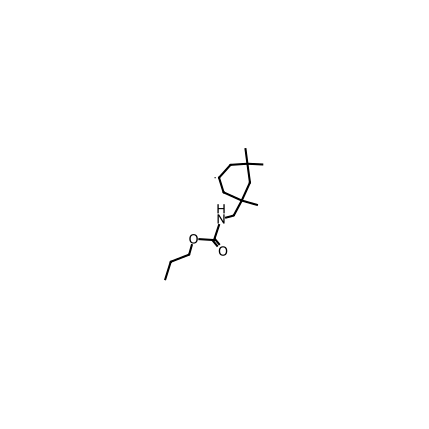 CCCOC(=O)NCC1(C)C[CH]CC(C)(C)C1